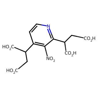 O=C(O)CC(C(=O)O)c1ccnc(C(CC(=O)O)C(=O)O)c1[N+](=O)[O-]